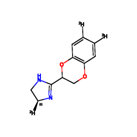 [2H]c1cc2c(cc1[2H])OC(C1=N[C@@H]([2H])CN1)CO2